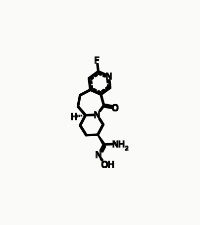 N/C(=N\O)[C@H]1CC[C@H]2CCc3cc(F)ncc3C(=O)N2C1